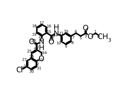 CCOC(=O)CCc1cccc(NC(=O)c2ccccc2NC(=O)C2=Cc3cc(Cl)ccc3OC2)c1